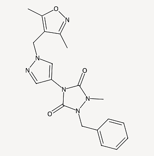 Cc1noc(C)c1Cn1cc(-n2c(=O)n(C)n(Cc3ccccc3)c2=O)cn1